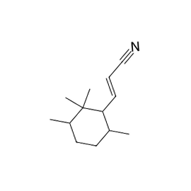 CC1CCC(C)C(C)(C)C1/C=C/C#N